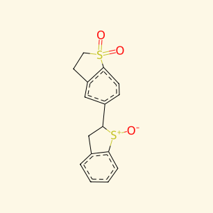 O=S1(=O)CCc2cc(C3Cc4ccccc4[S+]3[O-])ccc21